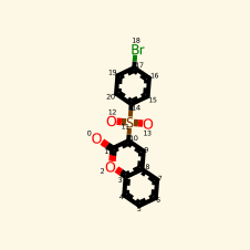 O=c1oc2ccccc2cc1S(=O)(=O)c1ccc(Br)cc1